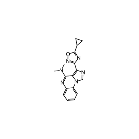 CN(C)c1nc2ccccc2n2cnc(-c3noc(C4CC4)n3)c12